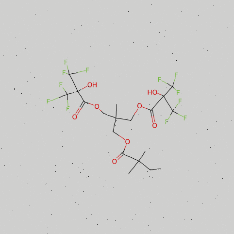 CCC(C)(C)C(=O)OCC(C)(COC(=O)C(O)(C(F)(F)F)C(F)(F)F)COC(=O)C(O)(C(F)(F)F)C(F)(F)F